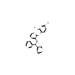 COc1ccc(Nc2ncccc2CC(c2cccnc2)c2cccnc2)c(OC)n1